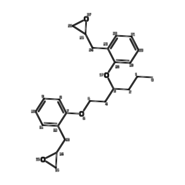 CCCC(CCOc1ccccc1CC1CO1)Oc1ccccc1CC1CO1